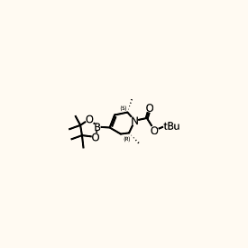 C[C@@H]1CC(B2OC(C)(C)C(C)(C)O2)=C[C@H](C)N1C(=O)OC(C)(C)C